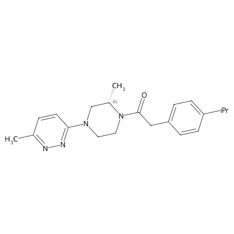 Cc1ccc(N2CCN(C(=O)Cc3ccc(C(C)C)cc3)[C@@H](C)C2)nn1